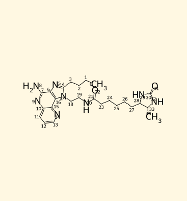 CCCCc1nc2c(N)nc3cccnc3c2n1CCNC(=O)CCCCCC1NC(=O)NC1C